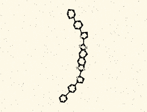 c1ccc(-c2ccc(-c3ccc(-c4nc5cc6cc7sc(-c8ccc(-c9ccc(-c%10ccccc%10)cc9)s8)nc7cc6cc5s4)s3)cc2)cc1